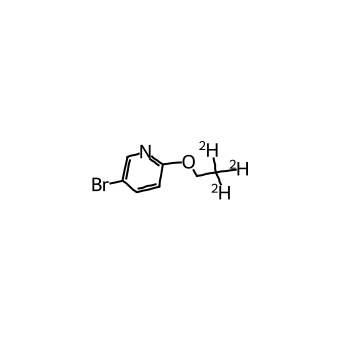 [2H]C([2H])([2H])COc1ccc(Br)cn1